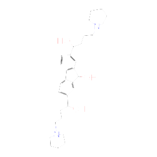 OC(CCCN1CCCCC1)c1ccc2c(c1)C(O)c1cc(C(O)CCCN3CCCCC3)ccc1-2